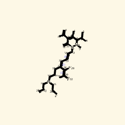 C=C(C)C1=C(C)C(C(C)C)N(C)N(C/C=C/C=C(CCCN(CCC)CCC)\C(F)=C(/C)F)C1=C